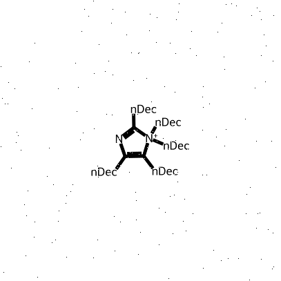 CCCCCCCCCCC1=NC(CCCCCCCCCC)=C(CCCCCCCCCC)[N+]1(CCCCCCCCCC)CCCCCCCCCC